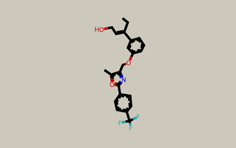 CCC(=CCO)c1cccc(OCc2nc(-c3ccc(C(F)(F)F)cc3)oc2C)c1